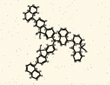 CC1(C)c2cc(-c3cccc4ccccc34)ccc2-c2ccc(N(c3ccc4c(c3)C(C)(C)c3cc(-c5cccc6ccccc56)ccc3-4)c3ccc(-c4cccc5c4Oc4ccccc4C5(C)C)c4ccccc34)cc21